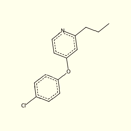 CCCc1cc(Oc2ccc(Cl)cc2)ccn1